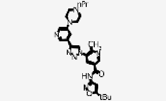 CCCN1CCN(c2cncc(-c3cn(-c4cc(C(=O)Nc5cc(C(C)(C)C)on5)cnc4C)nn3)c2)CC1